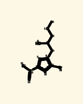 COCC(O)Cn1nc([N+](=O)[O-])nc1Br